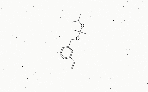 C=Cc1cccc(COC(C)(C)OC(C)C)c1